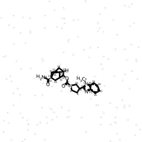 Cn1c(C2CCN(C(=O)OC3C4CC5C[C@H]3C[C@@](C(N)=O)(C5)C4)C2)nc2ccccc21